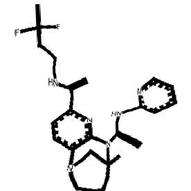 C=C(NCCC(C)(F)F)c1ccc2c(n1)N(C(=C)Nc1ccccn1)C1(C)CCN2C1